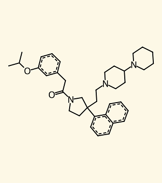 CC(C)Oc1cccc(CC(=O)N2CCC(CCN3CCC(N4CCCCC4)CC3)(c3cccc4ccccc34)C2)c1